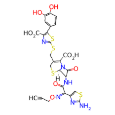 C#CCO/N=C(\C(=O)N[C@@H]1C(=O)N2C(C(=O)O)=C(CSc3nc(C(=O)O)c(-c4ccc(O)c(O)c4)s3)CS[C@H]12)c1csc(N)n1